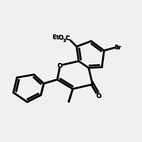 CCOC(=O)c1cc(Br)cc2c(=O)c(C)c(-c3ccccc3)oc12